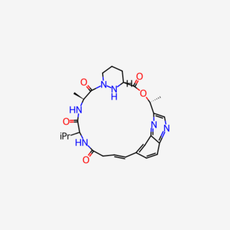 CC(C)C1NC(=O)C/C=C/c2ccc3ncc(nc3c2)[C@@H](C)OC(=O)[C@@H]2CCCN(N2)C(=O)[C@H](C)NC1=O